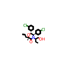 C=CC[C@]1(C)O[C@H](c2cccc(Cl)c2)[C@@H](c2ccc(Cl)cc2)N(C(CC)CO)C1=O